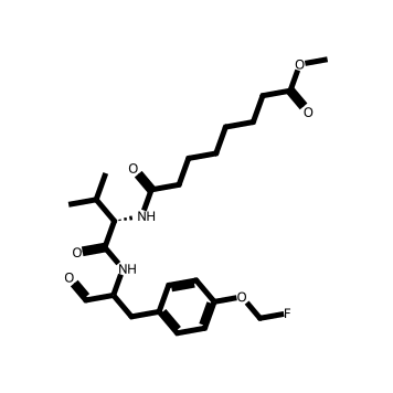 COC(=O)CCCCCCC(=O)N[C@H](C(=O)NC(C=O)Cc1ccc(OCF)cc1)C(C)C